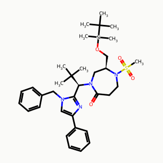 CC(C)(C)[C@H](c1nc(-c2ccccc2)cn1Cc1ccccc1)N1C[C@@H](CO[Si](C)(C)C(C)(C)C)N(S(C)(=O)=O)CCC1=O